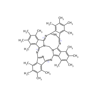 Cc1c(C)c(C)c2c(c1C)C1=NC/2=N\c2c3c(C)c(C)c(C)c(C)c3c3n2Cn2/c(c4c(C)c(C)c(C)c(C)c4/c2=N/C2=NC(=N\3)/c3c(C)c(C)c(C)c(C)c32)=N\1